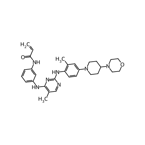 C=CC(=O)Nc1cccc(Nc2nc(Nc3ccc(N4CCC(N5CCOCC5)CC4)cc3C)ncc2C)c1